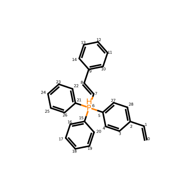 C=Cc1ccc([PH](C=Cc2ccccc2)(c2ccccc2)c2ccccc2)cc1